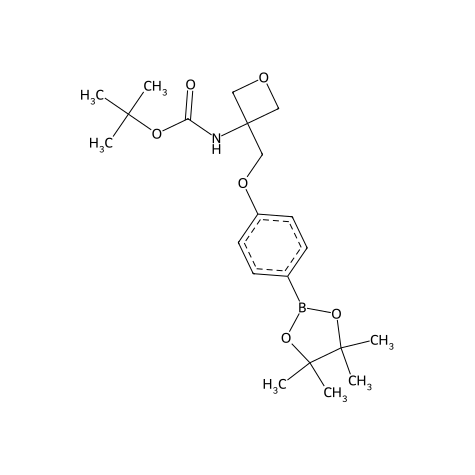 CC(C)(C)OC(=O)NC1(COc2ccc(B3OC(C)(C)C(C)(C)O3)cc2)COC1